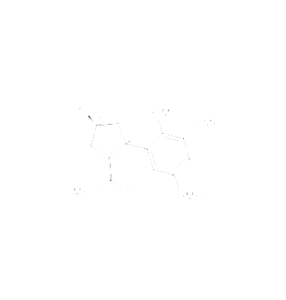 COC(=O)C1=C(c2cc(OC)cc(OC)c2OC)C[C@H](C)C1